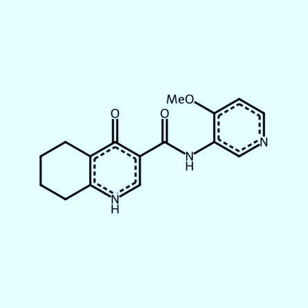 COc1ccncc1NC(=O)c1c[nH]c2c(c1=O)CCCC2